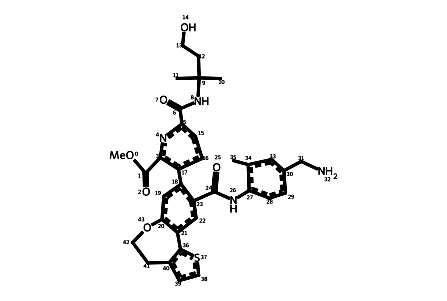 COC(=O)c1nc(C(=O)NC(C)(C)CCO)ccc1-c1cc2c(cc1C(=O)Nc1ccc(CN)cc1C)-c1sccc1CCO2